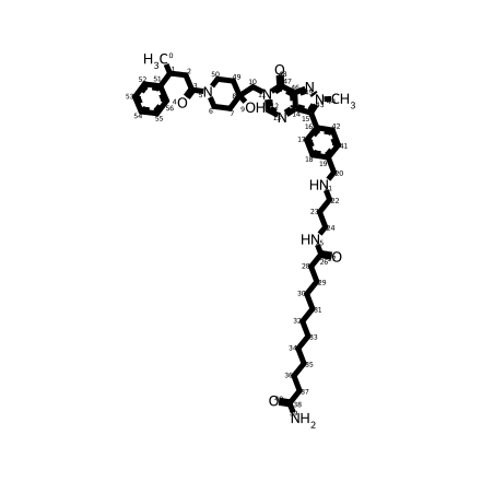 CC(CC(=O)N1CCC(O)(Cn2cnc3c(-c4ccc(CNCCCNC(=O)CCCCCCCCCCC(N)=O)cc4)n(C)nc3c2=O)CC1)c1ccccc1